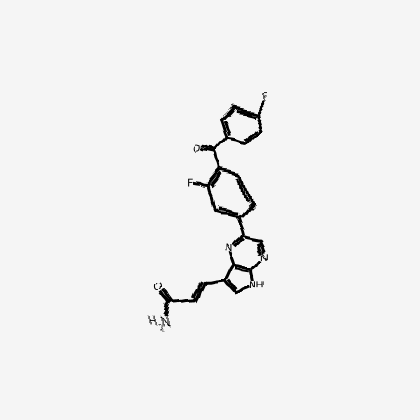 NC(=O)/C=C/c1c[nH]c2ncc(-c3ccc(C(=O)c4ccc(F)cc4)c(F)c3)nc12